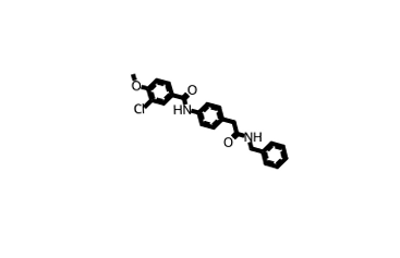 COc1ccc(C(=O)Nc2ccc(CC(=O)NCc3ccccc3)cc2)cc1Cl